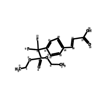 CCOP(=O)(OCC)C(F)(F)c1ccc(/C=C/C(=O)O)cc1